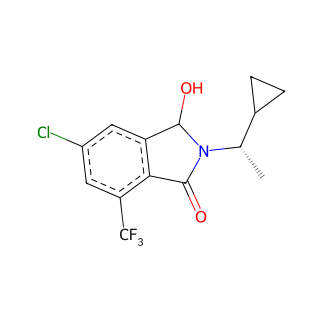 C[C@@H](C1CC1)N1C(=O)c2c(cc(Cl)cc2C(F)(F)F)C1O